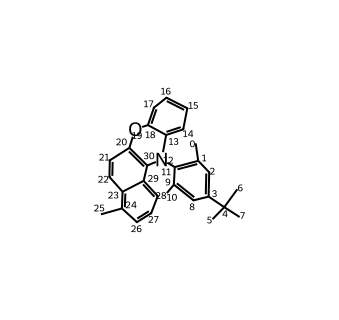 Cc1cc(C(C)(C)C)cc(C)c1N1c2ccccc2Oc2ccc3c(C)cccc3c21